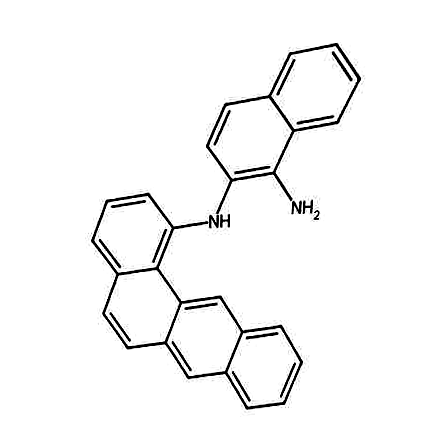 Nc1c(Nc2cccc3ccc4cc5ccccc5cc4c23)ccc2ccccc12